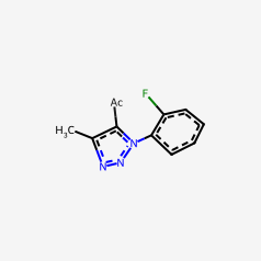 CC(=O)c1c(C)nnn1-c1ccccc1F